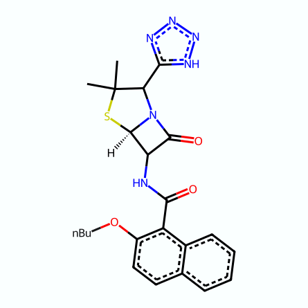 CCCCOc1ccc2ccccc2c1C(=O)NC1C(=O)N2C(c3nnn[nH]3)C(C)(C)S[C@H]12